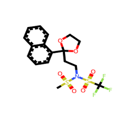 CS(=O)(=O)N(CCC1(c2cccc3ccccc23)OCCO1)S(=O)(=O)C(F)(F)F